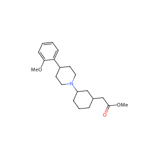 COC(=O)CC1CCCC(N2CCC(c3ccccc3OC)CC2)C1